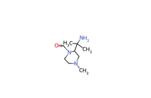 CN1CCN(C=O)C(C(C)(C)N)C1